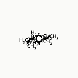 BC(C)(CC(C)(C)CC)N1CCCN(C(C)(C)CCC)CCC1